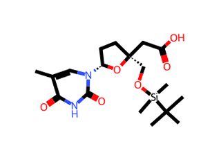 Cc1cn([C@@H]2CC[C@@](CO[Si](C)(C)C(C)(C)C)(CC(=O)O)O2)c(=O)[nH]c1=O